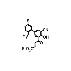 CCOC(=O)CCC(=O)c1nc(-c2cc(F)ccc2C)cc(C#N)c1O